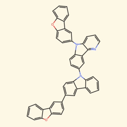 c1ccc2c(c1)oc1ccc(-c3ccc4c(c3)c3ccccc3n4-c3ccc4c(c3)c3ncccc3n4-c3ccc4oc5ccccc5c4c3)cc12